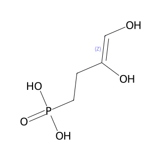 O=P(O)(O)CC/C(O)=C/O